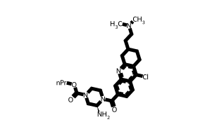 CCCOC(=O)N1CCN(C(=O)c2ccc3c(Cl)c4c(nc3c2)CC(CCN(C)C)CC4)[C@H](N)C1